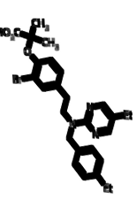 CCc1ccc(CN(CCc2ccc(OC(C)(C)C(=O)O)c(Br)c2)c2ncc(CC)cn2)cc1